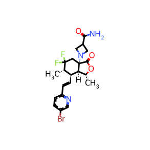 C[C@H]1OC(=O)[C@]2(N3CC(C(N)=O)C3)CC(F)(F)[C@@H](C)[C@H](C=Cc3ccc(Br)cn3)[C@H]12